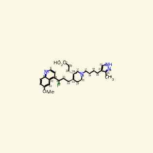 COc1ccc2nccc([C@H](F)CC[C@@H]3CCN(CCCCc4c[nH]nc4C)C[C@H]3CCC(=O)O)c2c1